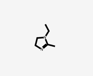 CCN1CCN=C1C